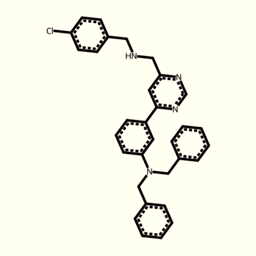 Clc1ccc(CNCc2cc(-c3cccc(N(Cc4ccccc4)Cc4ccccc4)c3)ncn2)cc1